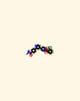 CN(C)C(=O)c1ccc(-c2cc(C3=CCN(S(=O)(=O)c4ccccc4Cl)CC3)ccn2)cc1